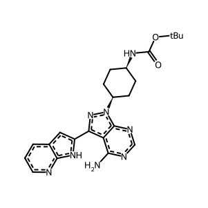 CC(C)(C)OC(=O)N[C@H]1CC[C@@H](n2nc(-c3cc4cccnc4[nH]3)c3c(N)ncnc32)CC1